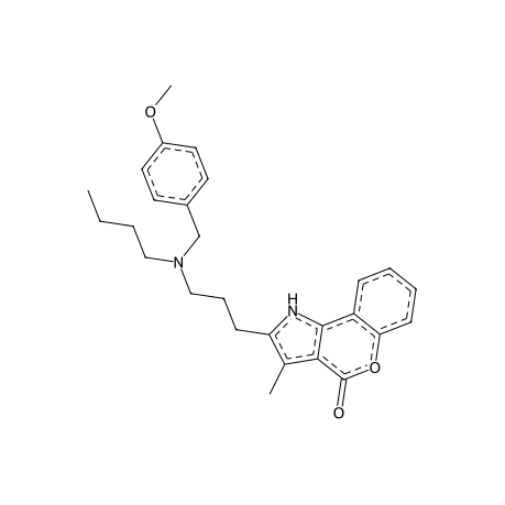 CCCCN(CCCc1[nH]c2c(c1C)c(=O)oc1ccccc12)Cc1ccc(OC)cc1